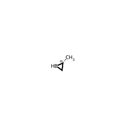 C[C@H]1BC1